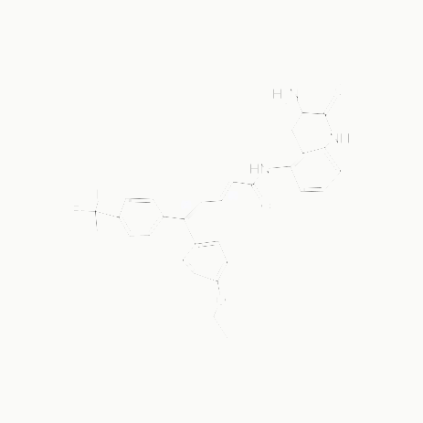 CCOc1ccc(/C(=C\C=C\C(=O)Nc2cccc3c2CC(N)C(=O)N3)c2ccc(C(F)(F)F)cc2)cc1